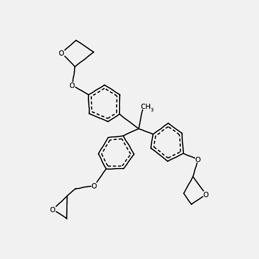 CC(c1ccc(OCC2CO2)cc1)(c1ccc(OC2CCO2)cc1)c1ccc(OC2CCO2)cc1